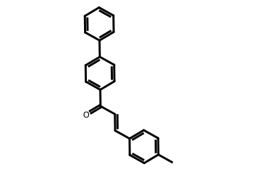 Cc1ccc(C=CC(=O)c2ccc(-c3ccccc3)cc2)cc1